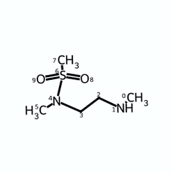 CNCCN(C)S(C)(=O)=O